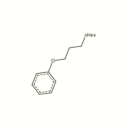 CCCCCCCCCOc1cc[c]cc1